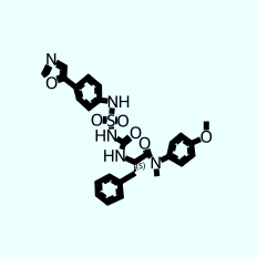 COc1ccc(N(C)C(=O)[C@H](Cc2ccccc2)NC(=O)NS(=O)(=O)Nc2ccc(-c3cnco3)cc2)cc1